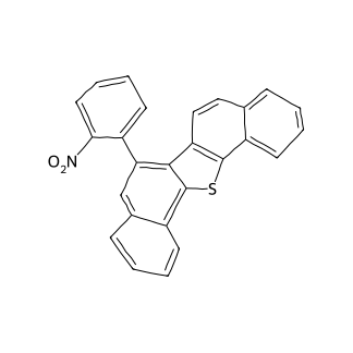 O=[N+]([O-])c1ccccc1-c1cc2ccccc2c2sc3c4ccccc4ccc3c12